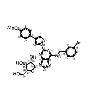 COc1ccc(-c2cnn(-c3nc(NCc4cccc(I)c4)c4ncn([C@@H]5O[C@H](CO)[C@@H](O)[C@H]5O)c4n3)c2)cc1